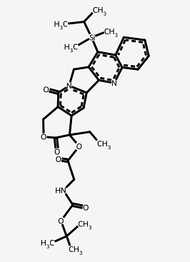 CCC1(OC(=O)CNC(=O)OC(C)(C)C)C(=O)OCc2c1cc1n(c2=O)Cc2c-1nc1ccccc1c2[Si](C)(C)C(C)C